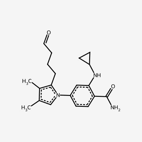 Cc1cn(-c2ccc(C(N)=O)c(NC3CC3)c2)c(CCCC=O)c1C